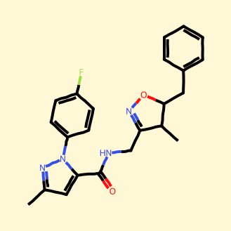 Cc1cc(C(=O)NCC2=NOC(Cc3ccccc3)C2C)n(-c2ccc(F)cc2)n1